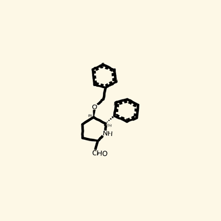 O=CC1CC[C@@H](OCc2ccccc2)[C@H](c2ccccc2)N1